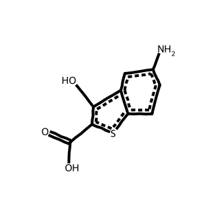 Nc1ccc2sc(C(=O)O)c(O)c2c1